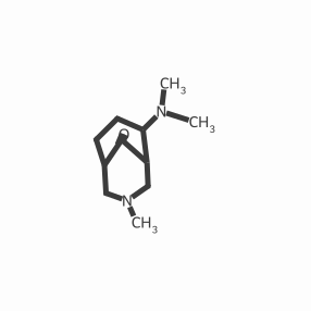 CN1CC2CCC(N(C)C)C(C1)C2=O